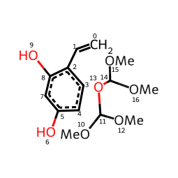 C=Cc1ccc(O)cc1O.COC(OC)OC(OC)OC